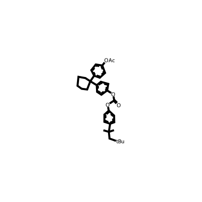 CC(=O)Oc1ccc(C2(c3ccc(OC(=O)Oc4ccc(C(C)(C)CC(C)(C)C)cc4)cc3)CCCCC2)cc1